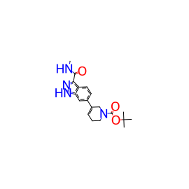 CNC(=O)c1n[nH]c2cc(C3=CCCN(C(=O)OC(C)(C)C)C3)ccc12